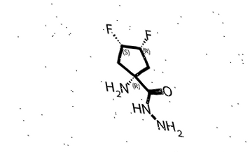 NNC(=O)[C@]1(N)C[C@@H](F)[C@@H](F)C1